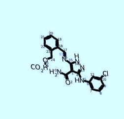 NC(=O)c1c(Nc2cccc(Cl)c2)n[nH]c1/N=C/c1ccccc1COC(=O)O